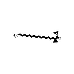 CCCCCCCCCCCCCCCCC1(C(=O)N2CC2)CC1